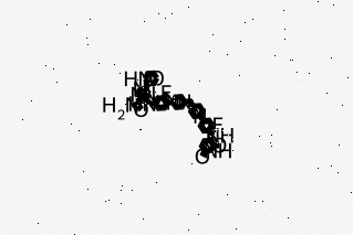 NC(=O)c1nnc(C2COCCN2)nc1Nc1ccc(N2CCN(CC3CCN(c4ccc(NC5CCC(=O)NC5=O)c(F)c4)CC3)CC2)c(F)c1